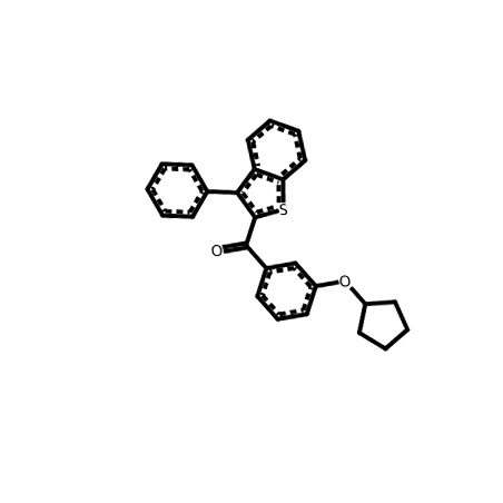 O=C(c1cccc(OC2CCCC2)c1)c1sc2ccccc2c1-c1ccccc1